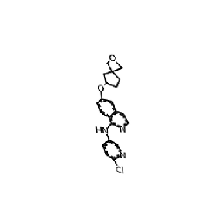 Clc1ccc(Nc2nccc3cc(O[C@H]4CCC5(COC5)C4)ccc23)cn1